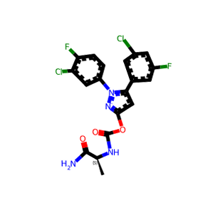 C[C@H](NC(=O)Oc1cc(-c2cc(F)cc(Cl)c2)n(-c2ccc(F)c(Cl)c2)n1)C(N)=O